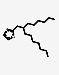 CCCCCCCC(CCCCCC)Cc1ncco1